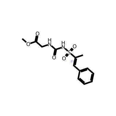 COC(=O)CNC(=O)NS(=O)(=O)/C(C)=C/c1ccccc1